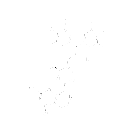 COc1ccnc(C(=O)N[C@@H](C)C(=O)O[C@@H](C)C(c2cc(F)c(F)c(F)c2)c2cc(F)c(F)c(F)c2)c1OC(C)=O